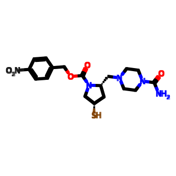 NC(=O)N1CCN(C[C@@H]2C[C@H](S)CN2C(=O)OCc2ccc([N+](=O)[O-])cc2)CC1